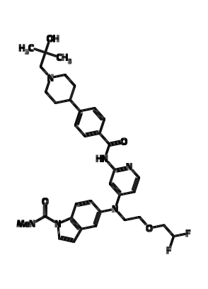 CNC(=O)n1ccc2cc(N(CCOCC(F)F)c3ccnc(NC(=O)c4ccc(C5CCN(CC(C)(C)O)CC5)cc4)c3)ccc21